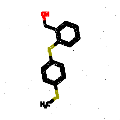 CSc1ccc(Sc2ccccc2CO)cc1